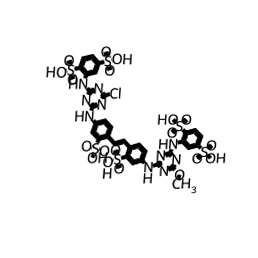 COc1nc(Nc2ccc(/C=C/c3ccc(Nc4nc(Cl)nc(Nc5cc(S(=O)(=O)O)ccc5S(=O)(=O)O)n4)cc3S(=O)(=O)O)c(S(=O)(=O)O)c2)nc(Nc2cc(S(=O)(=O)O)ccc2S(=O)(=O)O)n1